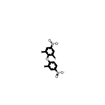 O=[N+]([O-])c1ccc(Oc2c(I)cc([N+](=O)[O-])cc2I)c(I)c1